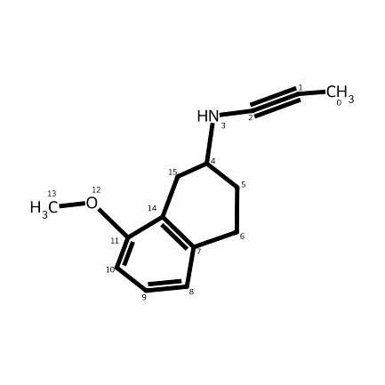 CC#CNC1CCc2cccc(OC)c2C1